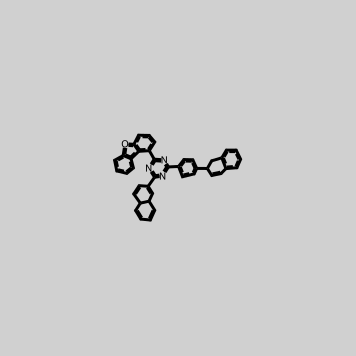 C1=CC2C=CC(c3nc(-c4ccc(C5C=Cc6ccccc6C5)cc4)nc(-c4cccc5oc6ccccc6c45)n3)=CC2C=C1